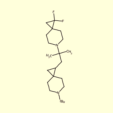 CC(C)(C)N1CCC2(CC1)CC2CC(C)(C)N1CCC2(CC1)CC2(F)F